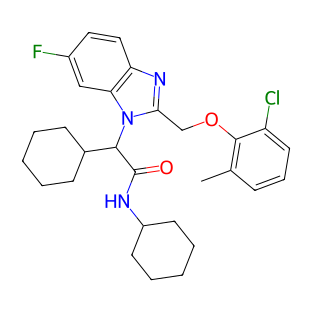 Cc1cccc(Cl)c1OCc1nc2ccc(F)cc2n1C(C(=O)NC1CCCCC1)C1CCCCC1